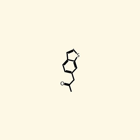 CC(=O)Cc1ccc2c[c]sc2c1